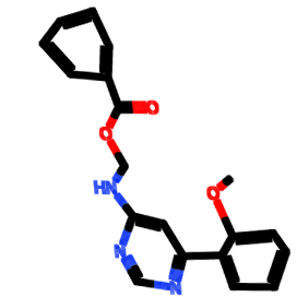 COc1ccccc1-c1cc(NCOC(=O)c2ccccc2)ncn1